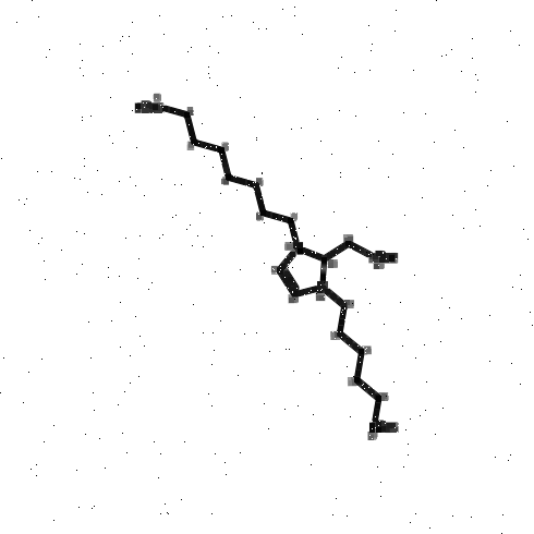 CCCCCCCCCCCCCCCCCN1C=CN(CCCCCCCCCCCCCCC)C1CCCCCCCCCCC